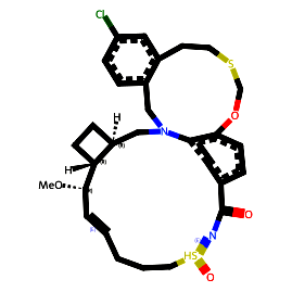 CO[C@H]1/C=C/CCC/[SH](=O)=N\C(=O)c2ccc3c(c2)N(Cc2ccc(Cl)cc2CCSCO3)C[C@@H]2CC[C@H]21